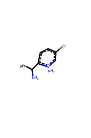 CCCC(N)c1ccc(Br)cn1.N